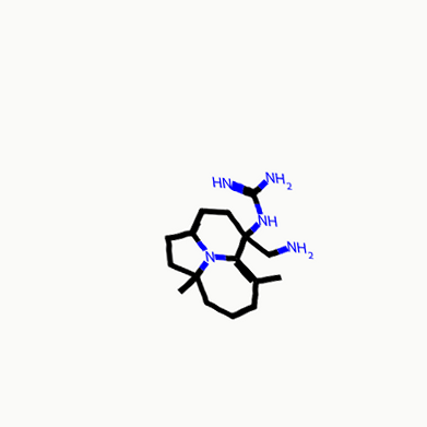 CC1=C2N3C(C)(CCC1)CCC3(C)CCC2(CN)NC(=N)N